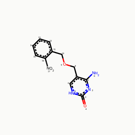 Nc1nc(=O)[nH]cc1COCc1ccccc1[N+](=O)[O-]